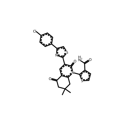 CC1(C)CC(=O)c2cc(-c3nc(-c4ccc(Cl)cc4)cs3)c(=O)n(-c3sccc3C(N)=O)c2C1